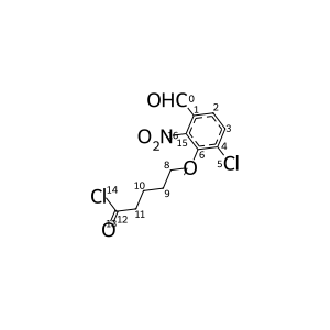 O=Cc1ccc(Cl)c(OCCCCC(=O)Cl)c1[N+](=O)[O-]